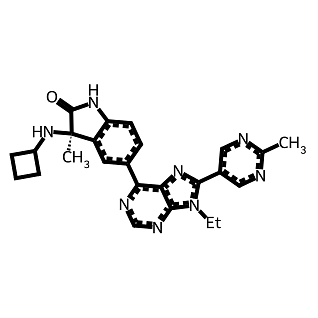 CCn1c(-c2cnc(C)nc2)nc2c(-c3ccc4c(c3)[C@@](C)(NC3CCC3)C(=O)N4)ncnc21